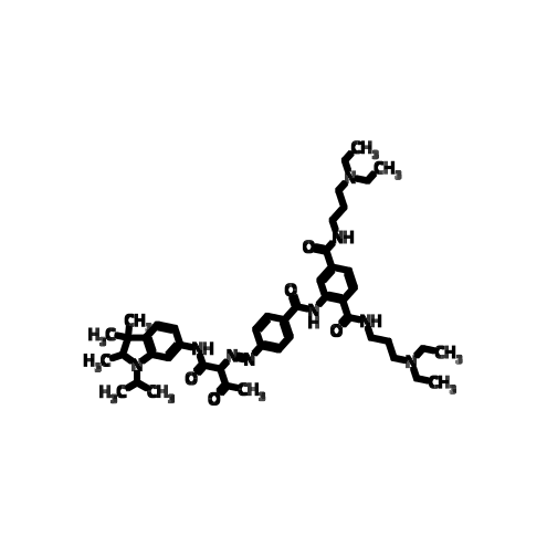 CCN(CC)CCCNC(=O)c1ccc(C(=O)NCCCN(CC)CC)c(NC(=O)c2ccc(/N=N/C(C(C)=O)C(=O)Nc3ccc4c(c3)N(C(C)C)C(C)C4(C)C)cc2)c1